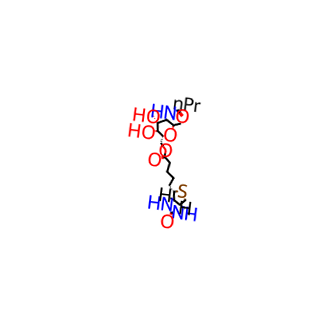 CCCC(=O)N[C@H]1C(C)O[C@H](COC(=O)CCCC[C@@H]2SC[C@@H]3NC(=O)N[C@@H]32)[C@@H](O)[C@@H]1O